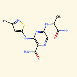 CC(Nc1cnc(C(N)=O)c(Nc2cc(C(C)C)ns2)n1)C(N)=O